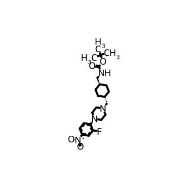 CC(C)(C)OC(=O)NC[C@H]1CC[C@H](CN2CCN(c3ccc([N+](=O)[O-])cc3F)CC2)CC1